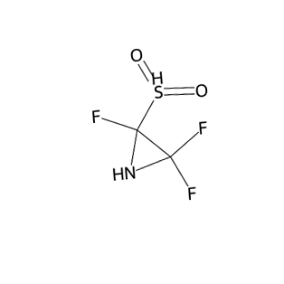 O=[SH](=O)C1(F)NC1(F)F